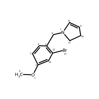 COc1ccc(CN2C=CCC2)c(Br)c1